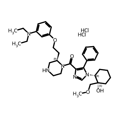 CCN(CC)c1cccc(OCC[C@@H]2CNCCN2C(=O)c2ncn([C@@H]3CCCC[C@@]3(O)COC)c2-c2ccccc2)c1.Cl.Cl